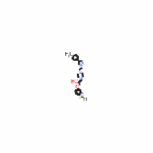 CCc1nc2cc(OC[C@@H](O)CN3CCN(CCn4cc(-c5ccc(C(F)(F)F)cc5)cn4)CC3)ccc2s1